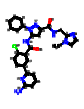 Cn1ccnc1CNC(=O)c1cc(NC(=O)c2cc(-c3cccc(N)n3)ccc2Cl)n(-c2ccccc2)n1